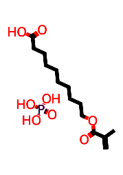 C=C(C)C(=O)OCCCCCCCCCC(=O)O.O=P(O)(O)O